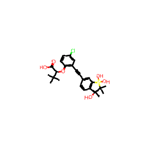 CC(C)(C)C(Oc1ccc(Cl)cc1C#Cc1ccc2c(c1)S(O)(O)C(C)(C)C2(C)O)C(=O)O